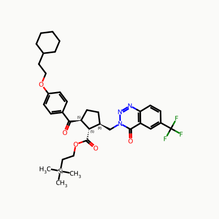 C[Si](C)(C)CCOC(=O)[C@H]1[C@H](Cn2nnc3ccc(C(F)(F)F)cc3c2=O)CC[C@@H]1C(=O)c1ccc(OCCC2CCCCC2)cc1